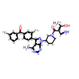 C/C(O)=C(/C=N)C(=O)N1CCCC(n2nc(-c3ccc(C(=O)c4cccc(F)c4)cc3F)c3c(N)ncnc32)C1